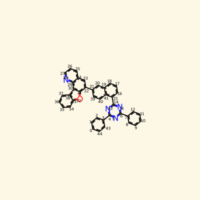 c1ccc(-c2nc(-c3ccccc3)nc(-c3cccc4cc(-c5cc6cccnc6c6c5oc5ccccc56)ccc34)n2)cc1